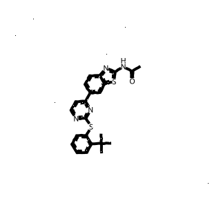 CC(=O)Nc1nc2ccc(-c3ccnc(Sc4ccccc4C(C)(C)C)n3)cc2s1